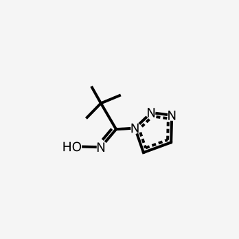 CC(C)(C)C(=NO)n1ccnn1